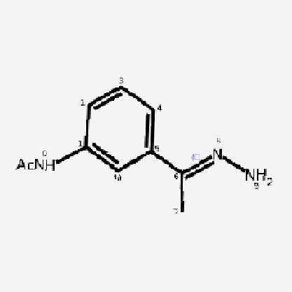 CC(=O)Nc1cccc(/C(C)=N/N)c1